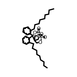 CCCCCCCCCc1ccccc1C1(c2ccccc2CCCCCCCCC)OP2(=O)OCC13COP(=O)(OC3)O2